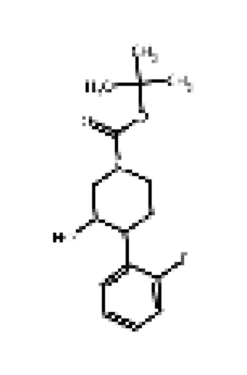 CC(C)(C)OC(=O)N1CCC(c2ccccc2F)C(O)C1